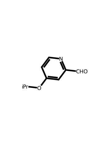 CC(C)Oc1ccnc(C=O)c1